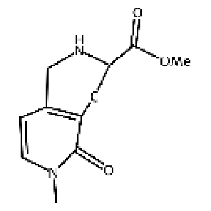 COC(=O)C1Cc2c(ccn(C)c2=O)CN1